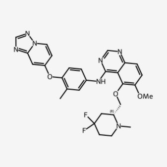 COc1ccc2ncnc(Nc3ccc(Oc4ccn5ncnc5c4)c(C)c3)c2c1OC[C@H]1CC(F)(F)CCN1C